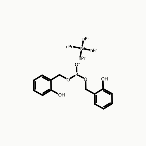 CCC[N+](CCC)(CCC)CCC.[O-]B(OCc1ccccc1O)OCc1ccccc1O